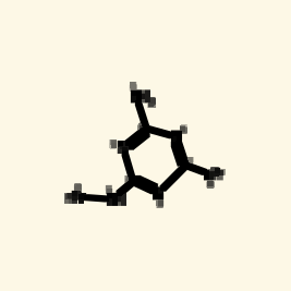 CCCNc1nc(N)nc(CCC)n1